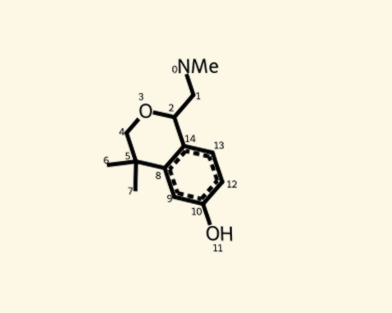 CNCC1OCC(C)(C)c2cc(O)ccc21